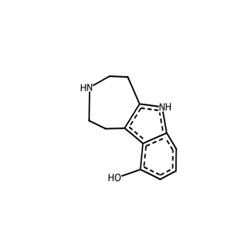 Oc1cccc2[nH]c3c(c12)CCNCC3